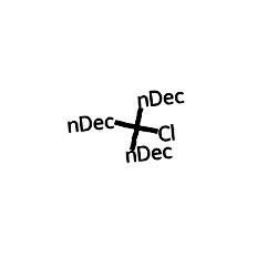 CCCCCCCCCCC(Cl)(CCCCCCCCCC)CCCCCCCCCC